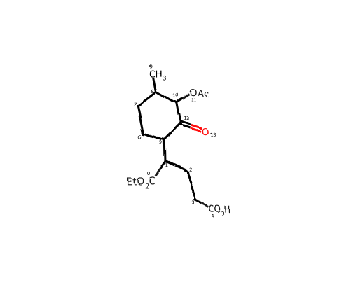 CCOC(=O)C(CCC(=O)O)C1CCC(C)C(OC(C)=O)C1=O